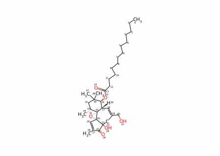 CCCCCCCCCCCCCC(=O)O[C@H]1[C@@H]2C=C(CO)C[C@]3(O)C(=O)C(C)=C[C@]34O[C@]24[C@H](C)CC1(C)C